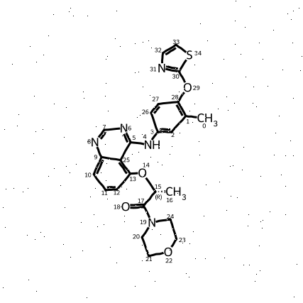 Cc1cc(Nc2ncnc3cccc(O[C@H](C)C(=O)N4CCOCC4)c23)ccc1Oc1nccs1